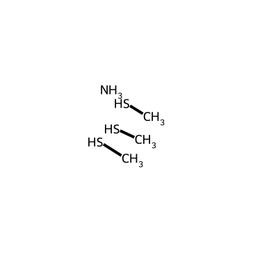 CS.CS.CS.N